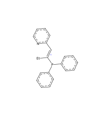 CC/C(=C\c1ccccn1)P(c1ccccc1)c1ccccc1